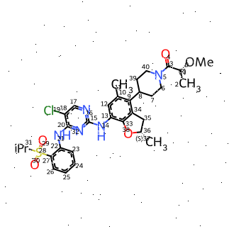 CO[C@H](C)C(=O)N1CCC(c2c(C)cc(Nc3ncc(Cl)c(Nc4ccccc4S(=O)(=O)C(C)C)n3)c3c2C[C@H](C)O3)CC1